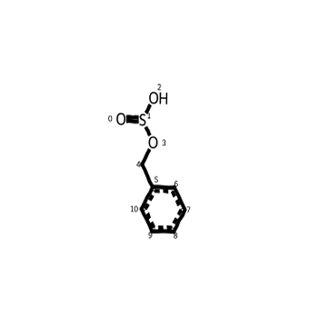 O=S(O)OCc1ccccc1